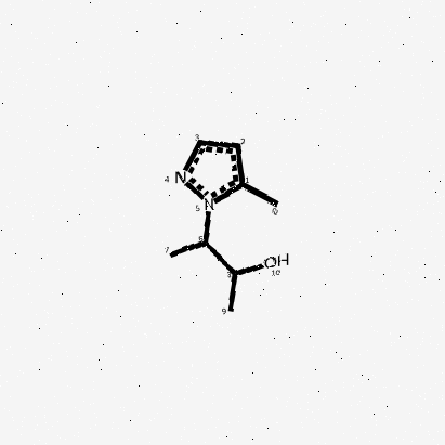 Cc1ccnn1C(C)C(C)O